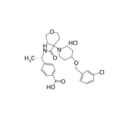 C[C@H](NC(=O)C1(N2CCC(OCc3cccc(Cl)c3)CC2)CCOCC1)c1ccc(C(=O)O)cc1.Cl